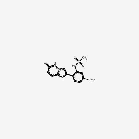 COc1ccc(-c2cn3[nH]c(=O)ccc3n2)c(NS(C)(=O)=O)c1